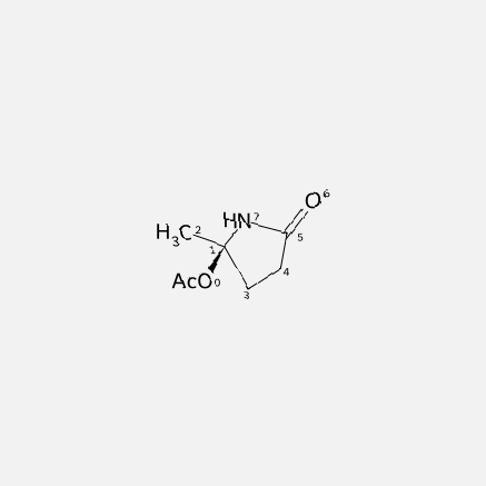 CC(=O)O[C@]1(C)CCC(=O)N1